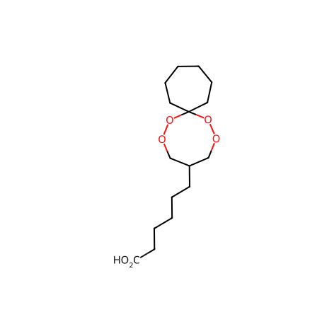 O=C(O)CCCCCC1COOC2(CCCCCC2)OOC1